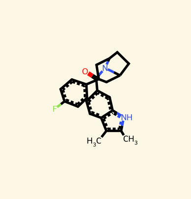 Cc1[nH]c2cc(C(=O)N3C4CCC3CC(c3ccc(F)cc3)C4)ccc2c1C